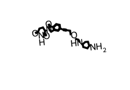 N[C@H]1CC[C@H](NCCOCCC#Cc2ccc3c(c2)CN(C2CCC(=O)NC2=O)C3=O)CC1